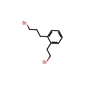 BrCCCc1ccccc1CCBr